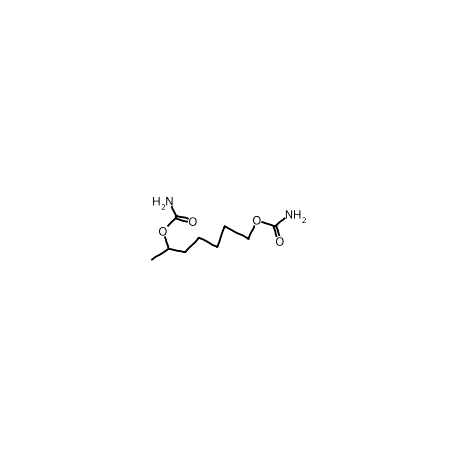 CC(CCCCCOC(N)=O)OC(N)=O